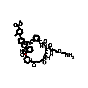 COC(=O)c1ccc(-c2ccc(C[C@@H]3NC(=O)[C@]4(Cc5ccccc5)CCCN(C4)C(=O)/C=C/C(=O)NCC[C@@H](C(=O)NCCOCCN)NC(=O)Cc4ccccc4CNC3=O)cc2)c(C)c1